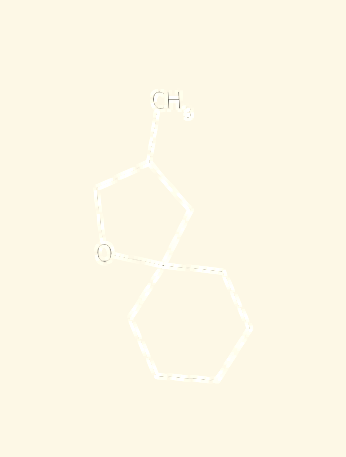 CC1COC2(CCCCC2)C1